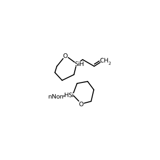 C=CC[SiH]1CCCCO1.CCCCCCCCC[SiH]1CCCCO1